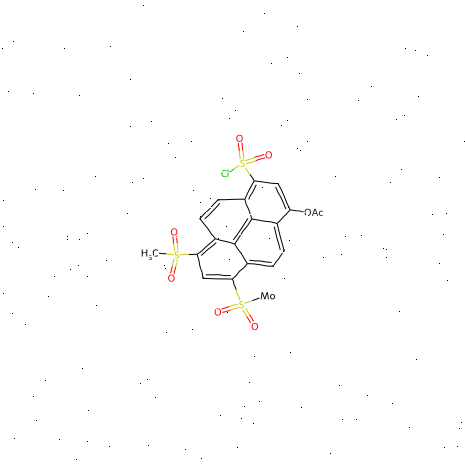 CC(=O)Oc1cc(S(=O)(=O)Cl)c2ccc3c(S(C)(=O)=O)cc([S](=O)(=O)[Mo])c4ccc1c2c34